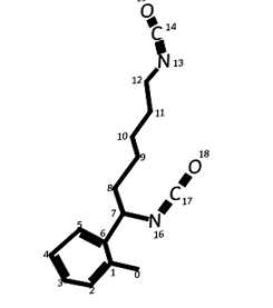 Cc1ccccc1C(CCCCCN=C=O)N=C=O